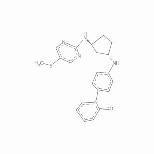 CSc1cnc(N[C@H]2CC[C@H](Nc3ccc(-n4ccccc4=O)cc3)C2)nc1